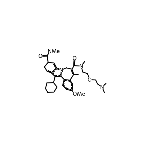 CNC(=O)C1C=c2c(c(C3CCCCC3)c3n2CC(C(=O)N(C)CCOCCN(C)C)=C(C)c2cc(OC)ccc2-3)=CC1